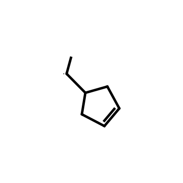 C[CH]C1CC=CC1